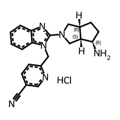 Cl.N#Cc1ccc(Cn2c(N3C[C@@H]4CC[C@@H](N)[C@@H]4C3)nc3ccccc32)nc1